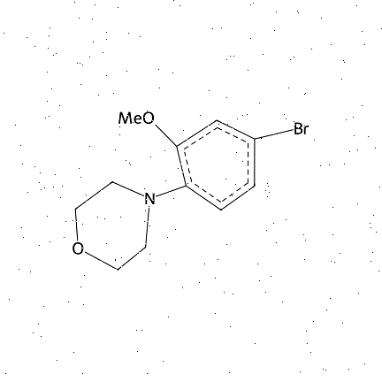 COc1cc(Br)ccc1N1CCOCC1